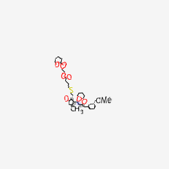 COCc1cccc(C[C@@H](/C=C/[C@H]2[C@H](C)CC(=O)[C@@H]2CCSCCCC(=O)OCCOC2CCCCO2)OC2CCCCO2)c1